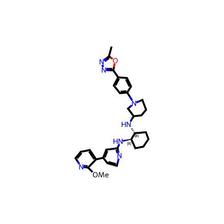 COc1ncccc1-c1ccnc(N[C@@H]2CCCC[C@H]2NC2CCCN(c3ccc(-c4nnc(C)o4)cc3)C2)c1